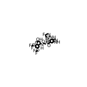 O=C(O)CC(NC(=O)CNC(=O)c1cc(NC2=NCC(F)CN2)c2cn[nH]c2c1)c1cc(OC(F)F)cc(OC(F)F)c1